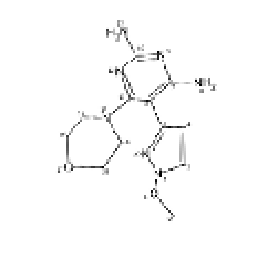 COn1ccc(-c2c(N)nc(N)nc2N2CCOCC2)n1